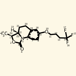 C[C@@H]1OC(=O)N2c3ccc(OCCCC(F)(F)F)cc3CC[C@@H]12